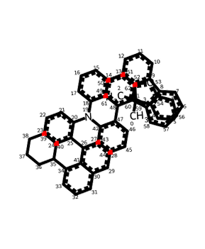 CC1(C)c2ccccc2-c2cccc(-c3cccc(N(c4ccccc4-c4cccc5cccc(C6CCCCC6)c45)c4ccccc4-c4cccc5oc6ccccc6c45)c3)c21